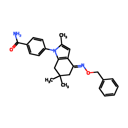 Cc1cc2c(n1-c1ccc(C(N)=O)cc1)CC(C)(C)CC2=NOCc1ccccc1